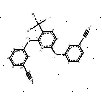 N#Cc1cccc(Oc2ccc(C(F)(F)F)c(Oc3cccc(C#N)c3)n2)c1